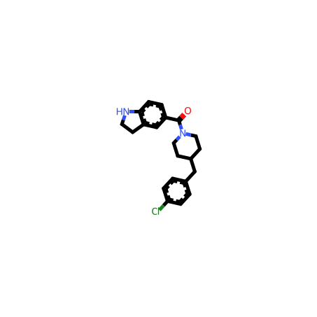 O=C(c1ccc2c(c1)CCN2)N1CCC(Cc2ccc(Cl)cc2)CC1